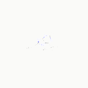 Cc1nc(C(C)(C)C)c2[nH]c(C)nc2n1